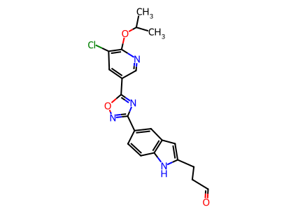 CC(C)Oc1ncc(-c2nc(-c3ccc4[nH]c(CCC=O)cc4c3)no2)cc1Cl